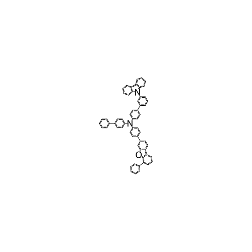 c1ccc(-c2ccc(N(c3ccc(-c4cccc(-n5c6ccccc6c6ccccc65)c4)cc3)c3ccc(-c4ccc5c(c4)oc4c(-c6ccccc6)cccc45)cc3)cc2)cc1